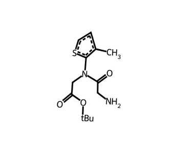 Cc1ccsc1N(CC(=O)OC(C)(C)C)C(=O)CN